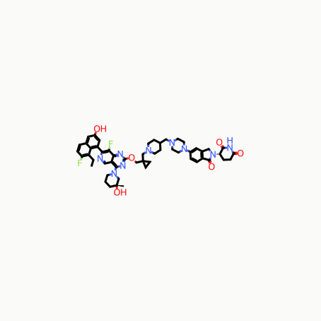 CCc1c(F)ccc2cc(O)cc(-c3ncc4c(N5CCC[C@@](C)(O)C5)nc(OCC5(CN6CCC(CN7CCN(c8ccc9c(c8)CN([C@H]8CCC(=O)NC8=O)C9=O)CC7)CC6)CC5)nc4c3F)c12